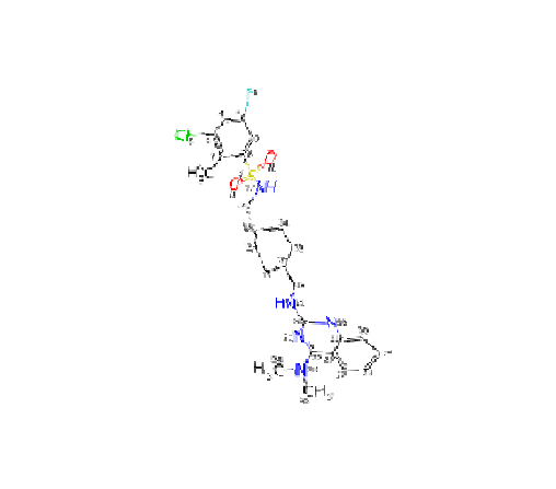 Cc1c(Cl)cc(F)cc1S(=O)(=O)NC[C@H]1CC[C@H](CNc2nc(N(C)C)c3ccccc3n2)CC1